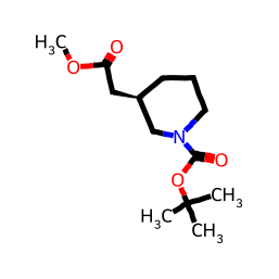 COC(=O)C[C@H]1CCCN(C(=O)OC(C)(C)C)C1